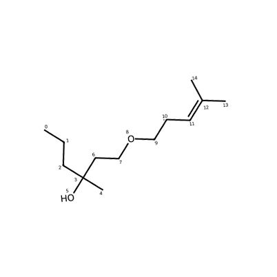 CCCC(C)(O)CCOC[CH]C=C(C)C